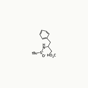 CC(C)(C)[S+]([O-])NC(CC(=O)O)Cc1ccccc1